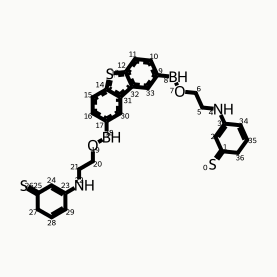 S=C1C=C(NCCOBc2ccc3sc4ccc(BOCCNC5=CC(=S)CC=C5)cc4c3c2)C=CC1